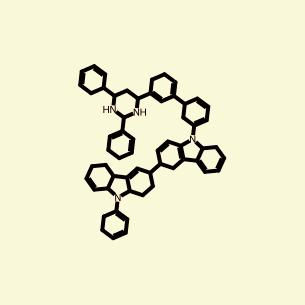 C1=CCCC(N2C3CCC(C4C=CC5=C(C4)C4=CC=CCC4N5C4=CC=CC(C5=CCCC(C6CC(C7C=CC=CC7)NC(C7=CCCC=C7)N6)=C5)C4)C=C3C3CCC=CC32)=C1